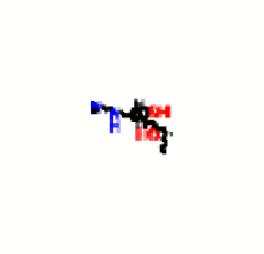 CCCC[C@H](C)C[C@H](O)/C=C/[C@@H]1[C@H]2CC(CCNCCCN(C)C)=C[C@H]2C[C@H]1O